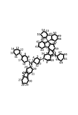 c1c(-c2ccc(N(c3ccc(-c4ccccc4)cc3)c3ccc4c(c3)sc3ccccc34)cc2)cc2c3cc(C4(c5ccccc5)c5ccccc5-c5ccccc54)ccc3n(-c3ccccc3)c2c#1